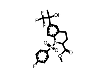 COC(=O)C1CCc2cc(C(C)(O)C(F)(F)F)ccc2N1S(=O)(=O)c1ccc(F)cc1